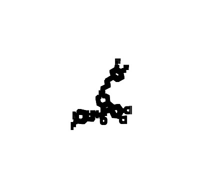 O=C(NCc1ccnc(F)c1)n1c2c(c3cc(Cl)c(Cl)cc31)CN(C/C=C/c1ccc(F)c(F)c1)CC2